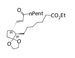 CCCCCC(=O)C=C[C@H]1CCC2(OCCO2)[C@@H]1CCCCCCC(=O)OCC